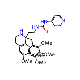 COc1cc2c(cc1OC)C(CCNC(=O)Nc1ccncc1)(Cc1ccc(OC)c(OC)c1OC)NCC2